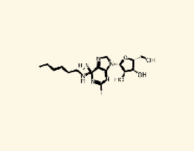 CCCCCCNC1(N)N=C(I)N=C2C1=NCN2[C@@H]1O[C@H](CO)[C@@H](O)[C@H]1O